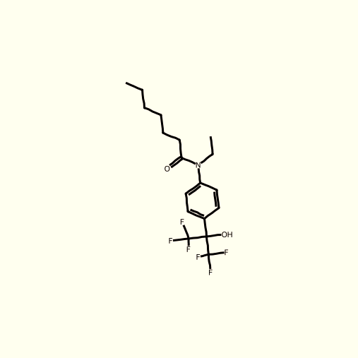 CCCCCCC(=O)N(CC)c1ccc(C(O)(C(F)(F)F)C(F)(F)F)cc1